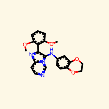 COc1cccc(OC)c1-c1nc2ccncn2c1Nc1ccc2c(c1)OCCO2